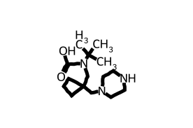 CC(C)(C)N(CC1(CN2CCNCC2)CCC1)C(=O)O